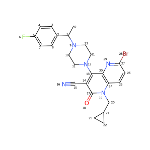 CC(c1ccc(F)cc1)N1CCN(c2c(C#N)c(=O)n(CC3CC3)c3ccc(Br)nc23)CC1